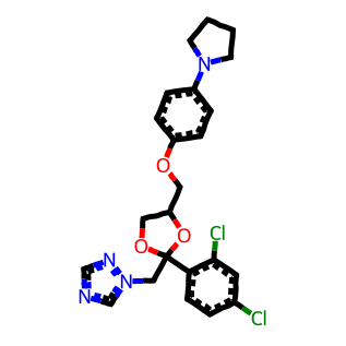 Clc1ccc(C2(Cn3cncn3)OCC(COc3ccc(N4CCCC4)cc3)O2)c(Cl)c1